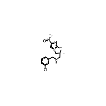 CN(Cc1cccc(Cl)c1)C[C@@]1(C)Cn2cc([N+](=O)[O-])nc2O1